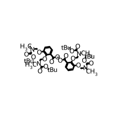 CN(COc1cccc(C(=O)OOC(=O)c2cccc(OCN(C)C(=O)OC(C)(C)C)c2OCN(C)C(=O)OC(C)(C)C)c1OCN(C)C(=O)OC(C)(C)C)C(=O)OC(C)(C)C